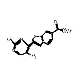 COC(=O)c1ccc2cc(-c3nc(Cl)ncc3C)sc2c1